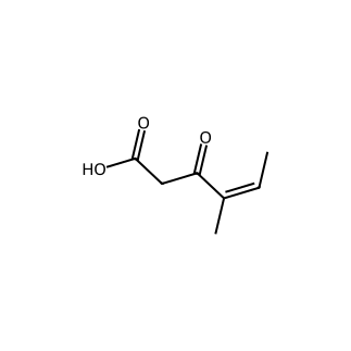 CC=C(C)C(=O)CC(=O)O